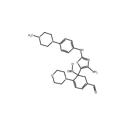 CN1CCN(c2ccc(Nc3nc(N)c(C4([N+](=O)[O-])CC(C=O)=CC=C4N4CCOCC4)s3)cc2)CC1